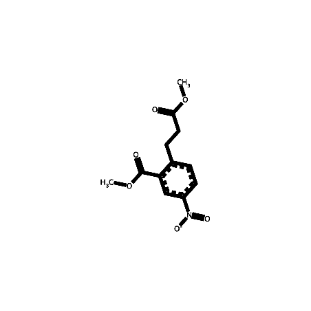 COC(=O)CCc1ccc([N+](=O)[O-])cc1C(=O)OC